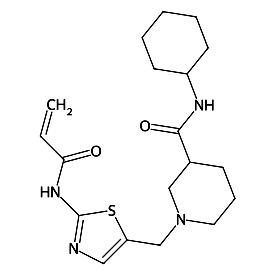 C=CC(=O)Nc1ncc(CN2CCCC(C(=O)NC3CCCCC3)C2)s1